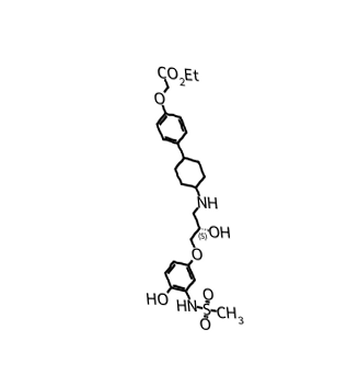 CCOC(=O)COc1ccc(C2CCC(NC[C@H](O)COc3ccc(O)c(NS(C)(=O)=O)c3)CC2)cc1